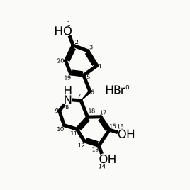 Br.Oc1ccc(C[C@@H]2NCCc3cc(O)c(O)cc32)cc1